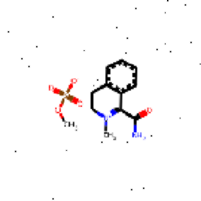 COS(=O)(=O)[O-].C[N+]1=C(C(N)=O)c2ccccc2CC1